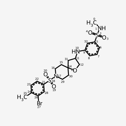 CNS(=O)(=O)c1cccc(NC2COC3(CCN(S(=O)(=O)c4ccc(C)c(Br)c4)CC3)C2)c1